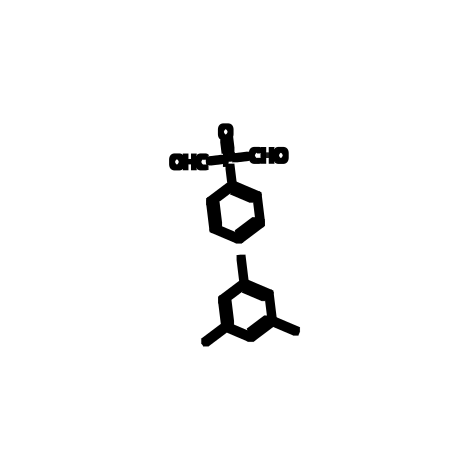 Cc1cc(C)cc(C)c1.O=CP(=O)(C=O)c1ccccc1